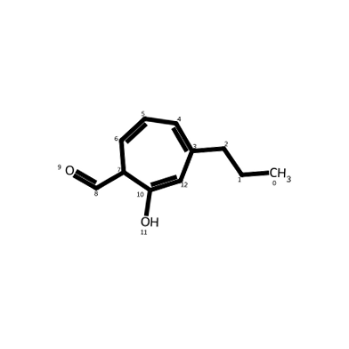 CCCC1=CC=CC(C=O)C(O)=C1